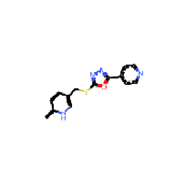 C=C1C=CC(CSc2nnc(-c3ccncc3)o2)=CN1